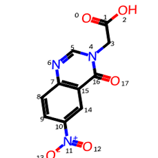 O=C(O)Cn1cnc2ccc([N+](=O)[O-])cc2c1=O